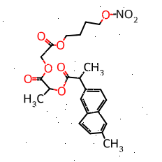 Cc1ccc2cc(C(C)C(=O)OC(C)C(=O)OCC(=O)OCCCCO[N+](=O)[O-])ccc2c1